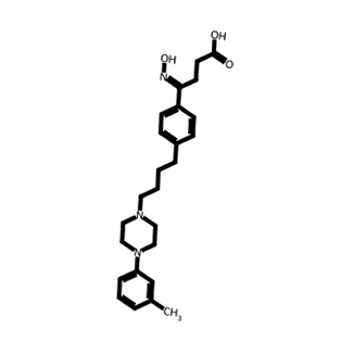 Cc1cccc(N2CCN(CCCCc3ccc(C(CCC(=O)O)=NO)cc3)CC2)c1